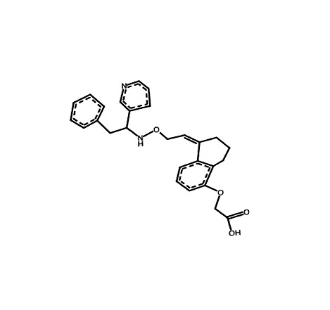 O=C(O)COc1cccc2c1CCC/C2=C/CONC(Cc1ccccc1)c1cccnc1